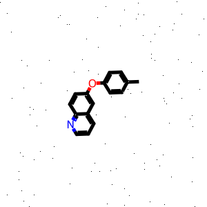 Cc1ccc(Oc2ccc3ncccc3c2)cc1